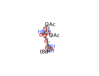 CC(=O)OCCN(CCOC(C)=O)S(=O)(=O)NC(=O)OCCOCCNS(=O)(=O)NC(C)(C)C